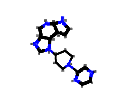 c1cnc(N2CCC(n3cnc4cnc5[nH]ccc5c43)CC2)cn1